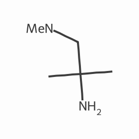 [CH2-][NH2+]CC(C)(C)N